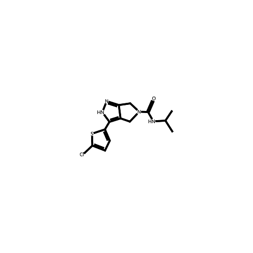 CC(C)NC(=O)N1Cc2n[nH]c(-c3ccc(Cl)s3)c2C1